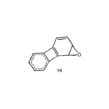 C1=CC2OC2C2=C1c1ccccc12.I